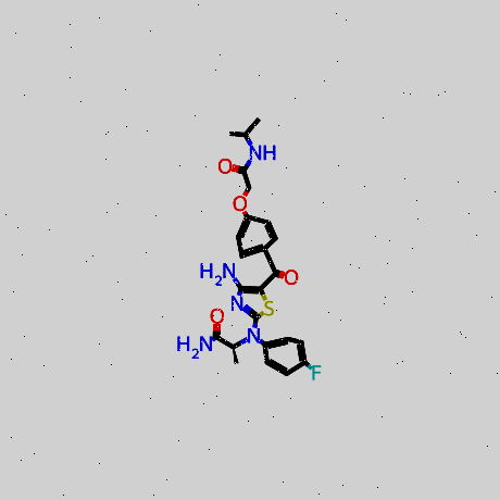 CC(C)NC(=O)COc1ccc(C(=O)c2sc(N(c3ccc(F)cc3)[C@@H](C)C(N)=O)nc2N)cc1